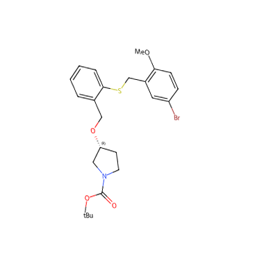 COc1ccc(Br)cc1CSc1ccccc1CO[C@@H]1CCN(C(=O)OC(C)(C)C)C1